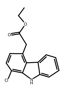 CCOC(=O)Cc1ccc(Cl)c2[nH]c3ccccc3c12